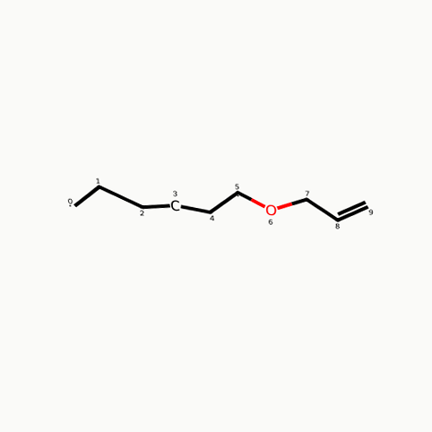 [CH2]CCCC[CH]OCC=C